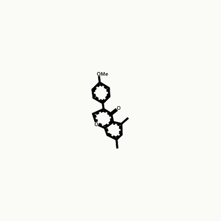 COc1ccc(-c2coc3cc(C)cc(C)c3c2=O)cc1